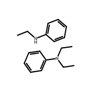 CCN(CC)c1ccccc1.CCNc1ccccc1